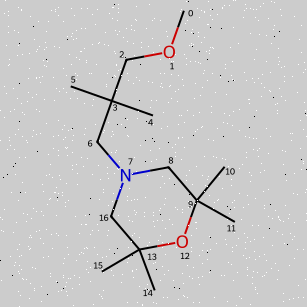 COCC(C)(C)CN1CC(C)(C)OC(C)(C)C1